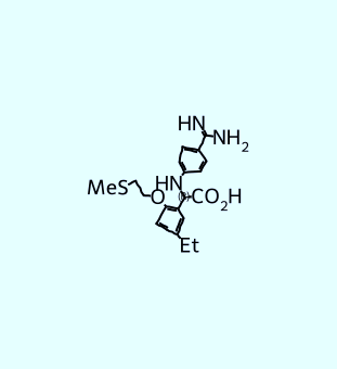 CCc1ccc(OCCSC)c([C@@H](Nc2ccc(C(=N)N)cc2)C(=O)O)c1